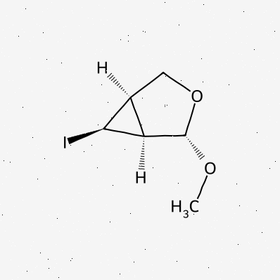 CO[C@H]1OC[C@@H]2[C@H](I)[C@H]12